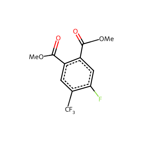 COC(=O)c1cc(F)c(C(F)(F)F)cc1C(=O)OC